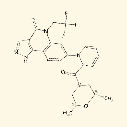 C[C@@H]1CN(C(=O)C2C=CC=CN2c2ccc3c4[nH]ncc4c(=O)n(CC(F)(F)F)c3c2)C[C@H](C)O1